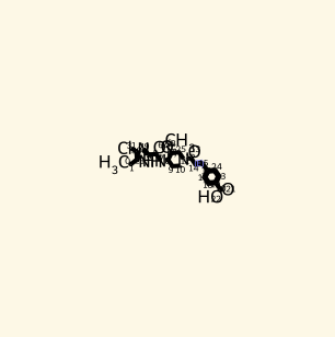 CCc1[nH]c(C(=O)NC2CCN(C(=O)/C=C/c3ccc(C(=O)O)cc3)C[C@@H]2OC)nc1Cl